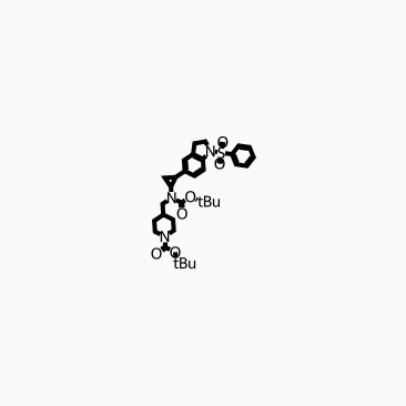 CC(C)(C)OC(=O)N1CCC(CN(C(=O)OC(C)(C)C)C2CC2c2ccc3c(c2)CCN3S(=O)(=O)c2ccccc2)CC1